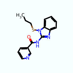 CCCSn1c(NC(=O)c2cccnc2)nc2ccccc21